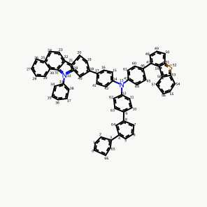 c1ccc(-c2cccc(-c3ccc(N(c4ccc(-c5ccc6c7ccc8ccccc8c7n(-c7ccccc7)c6c5)cc4)c4ccc(-c5cccc6sc7ccccc7c56)cc4)cc3)c2)cc1